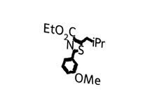 CCOC(=O)c1nc(-c2cccc(OC)c2)sc1CC(C)C